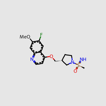 COc1cc2nccc(OC[C@@H]3CCN([S@](C)(=N)=O)C3)c2cc1F